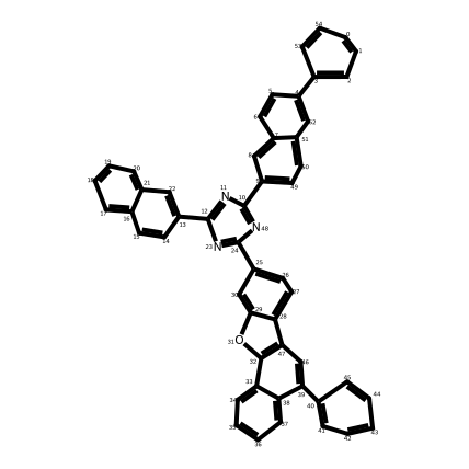 c1ccc(-c2ccc3cc(-c4nc(-c5ccc6ccccc6c5)nc(-c5ccc6c(c5)oc5c7ccccc7c(-c7ccccc7)cc65)n4)ccc3c2)cc1